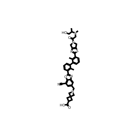 Cc1c(-c2nc3cc(CN4CC5(CC(C(=O)O)C5)C4)cc(C#N)c3o2)cccc1-c1cccc(-c2nc3c(s2)CN(C(=O)CN(C)C(C)CO)C3)c1C